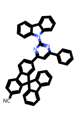 N#Cc1ccc2c(c1)C1(c3ccccc3-c3ccccc31)c1cc(-c3cc(-c4ccccc4)nc(-n4c5ccccc5c5ccccc54)n3)ccc1-2